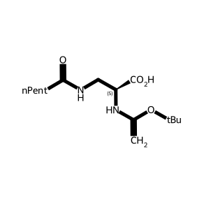 C=C(N[C@@H](CNC(=O)CCCCC)C(=O)O)OC(C)(C)C